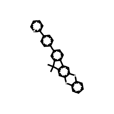 CC1(C)c2cc(-c3ccc(-c4ccccn4)cc3)ccc2-c2cc3c(cc21)Sc1ccccc1S3